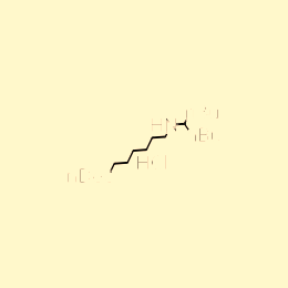 CCCCCCCCCCCCCCCCNC(CCCC)CCCC.Cl